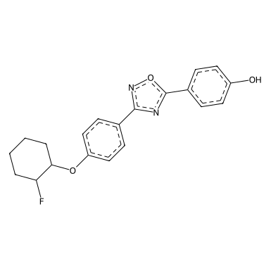 Oc1ccc(-c2nc(-c3ccc(OC4CCCCC4F)cc3)no2)cc1